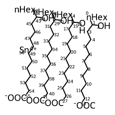 CCCCCCC(O)CCCCCCCCCCC(=O)[O-].CCCCCCC(O)CCCCCCCCCCC(=O)[O-].CCCCCCC(O)CCCCCCCCCCC(=O)[O-].CCCCCCC(O)CCCCCCCCCCC(=O)[O-].[Sn+4]